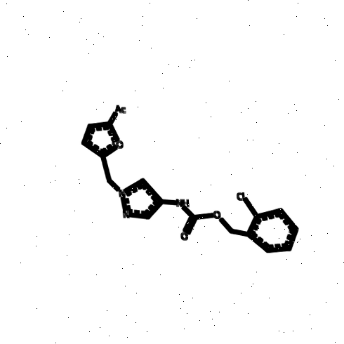 CC(=O)c1ccc(Cn2cc(NC(=O)OCc3ccccc3Cl)cn2)o1